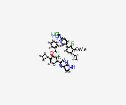 COc1c(C2CCC2)ccc(-c2ccc(N)nc2)c1F.Cl.Fc1c(-c2cnc3[nH]ccc3n2)ccc(C2CCC2)c1OCc1ccccc1